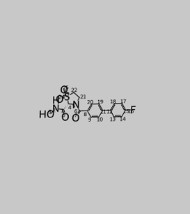 O=C(NO)[C@H]1N(C(=O)c2ccc(-c3ccc(F)cc3)cc2)CCS1(=O)=O